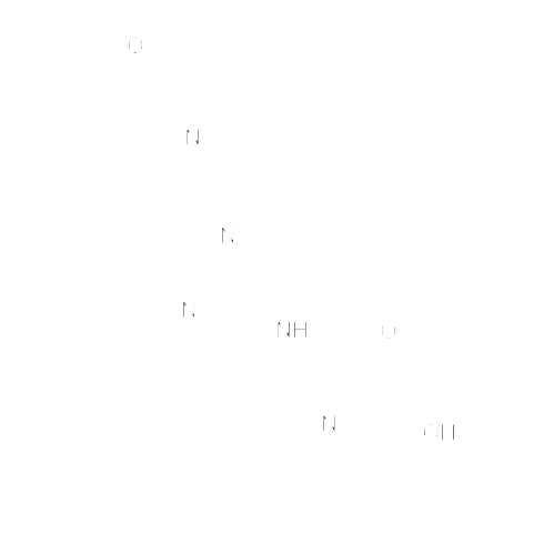 CC1CCCC1n1c(=O)ccc2cnc(NC3CCCCN3C(=O)O)nc21